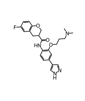 CN(C)CCCOc1cc(-c2cn[nH]c2)ccc1NC(=O)C1COc2ccc(F)cc2C1